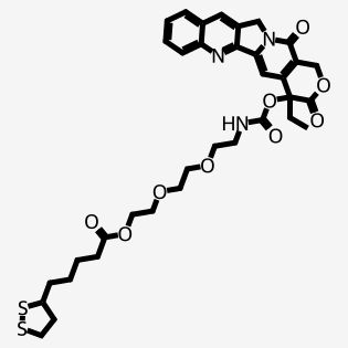 CCC1(OC(=O)NCCOCCOCCOC(=O)CCCCC2CCSS2)C(=O)OCc2c1cc1n(c2=O)Cc2cc3ccccc3nc2-1